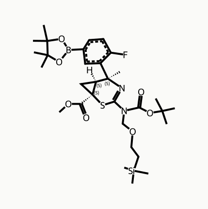 COC(=O)[C@]12C[C@H]1[C@@](C)(c1cc(B3OC(C)(C)C(C)(C)O3)ccc1F)N=C(N(COCC[Si](C)(C)C)C(=O)OC(C)(C)C)S2